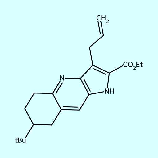 C=CCc1c(C(=O)OCC)[nH]c2cc3c(nc12)CCC(C(C)(C)C)C3